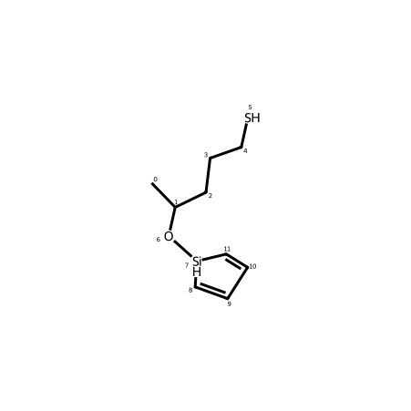 CC(CCCS)O[SiH]1C=CC=C1